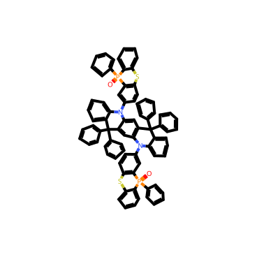 O=P1(c2ccccc2)c2ccccc2Sc2ccc(N3c4ccccc4C(c4ccccc4)(c4ccccc4)c4cc5c(cc43)C(c3ccccc3)(c3ccccc3)c3ccccc3N5c3ccc4c(c3)P(=O)(c3ccccc3)c3ccccc3S4)cc21